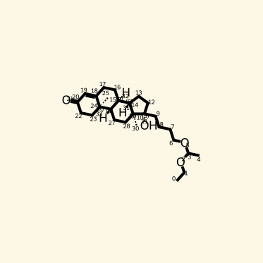 CCOC(C)OCCCC[C@]1(O)CC[C@H]2[C@@H]3CCC4=CC(=O)CC[C@]4(C)[C@H]3CC[C@@]21C